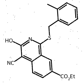 CCOC(=O)c1ccc2c(C#N)c(O)nc(SCc3ccccc3C)c2c1